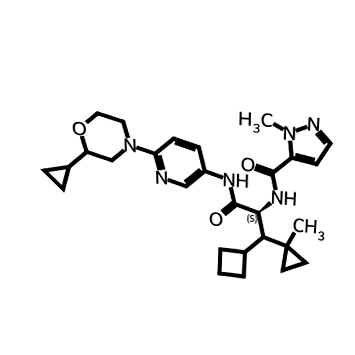 Cn1nccc1C(=O)N[C@H](C(=O)Nc1ccc(N2CCOC(C3CC3)C2)nc1)C(C1CCC1)C1(C)CC1